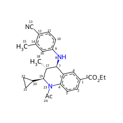 CCOC(=O)c1ccc2c(c1)[C@H](Nc1ccc(C#N)c(C)c1)[C@@H](C)[C@H](C1CC1)N2C(C)=O